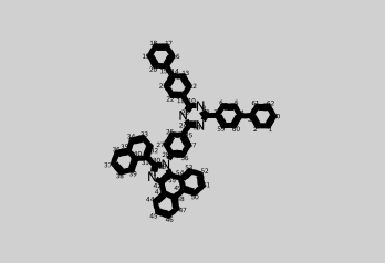 c1ccc(-c2ccc(-c3nc(-c4ccc(-c5ccccc5)cc4)nc(-c4ccc(-n5c(-c6cccc7ccccc67)nc6c7ccccc7c7ccccc7c65)cc4)n3)cc2)cc1